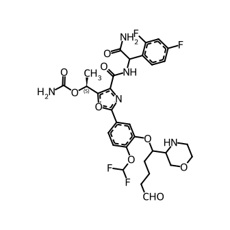 C[C@H](OC(N)=O)c1oc(-c2ccc(OC(F)F)c(OC(CCCC=O)C3COCCN3)c2)nc1C(=O)NC(C(N)=O)c1ccc(F)cc1F